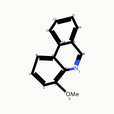 COc1cccc2c1ncc1ccccc12